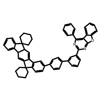 C1=C2C(=CC3c4ccccc4C4(CCCCC4)C13)C1(CCCCC1)c1ccc(-c3ccc(-c4cccc(-c5nc(-c6ccccc6)c6c(n5)oc5ccccc56)c4)cc3)cc12